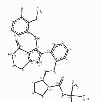 CCc1c(F)cccc1Nc1c(-c2ccncc2OC[C@@H]2CCCN2C(=O)OC(C)(C)C)[nH]c2c1C(=O)NCC2